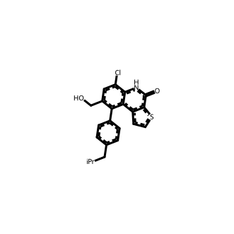 CC(C)Cc1ccc(-c2c(CO)cc(Cl)c3[nH]c(=O)c4sccc4c23)cc1